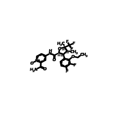 CCOc1c([C@H]2[C@@H](C(=O)Nc3cc[n+]([O-])c(C(N)=O)c3)O[C@@](C)(C(F)(F)F)[C@H]2C)ccc(F)c1F